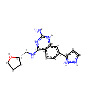 Nc1nc(NC[C@@H]2CCCO2)c2ccc(-c3ccn[nH]3)cc2n1